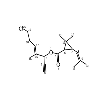 C#CC(OC(=O)C1C(C=C(C)C)C1(C)C)C(C)=CCCCl